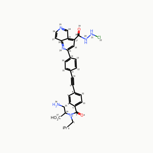 CC(C)CN(C(=O)c1ccc(C#Cc2ccc(-c3cc(C(=O)NNCl)c4cnccc4n3)cc2)cc1)C(CN)C(=O)O